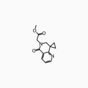 COC(=O)CN1CC2(CC2)c2ncccc2C1=O